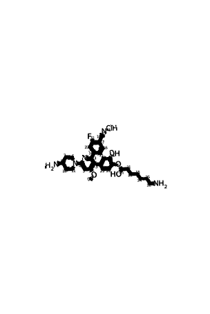 COc1cc(N2CCC(N)CC2)nc(-c2ccc(C#N)c(F)c2)c1-c1ccc(OC(O)CCCCCCN)c(O)c1.Cl